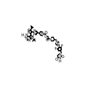 CC(C)(C)n1nc(-c2noc(C3CC3)c2-c2ncc(C3CCN(C(=O)OCC(=O)N4CCC(CN5CCN(c6c(F)cc(CN7CCC(=O)NC7=O)cc6F)CC5)CC4)CC3)cn2)c2c(N)ncnc21